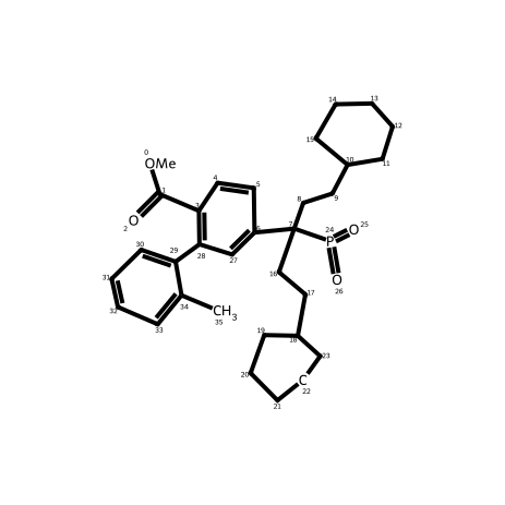 COC(=O)c1ccc(C(CCC2CCCCC2)(CCC2CCCCC2)P(=O)=O)cc1-c1ccccc1C